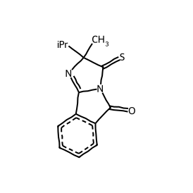 CC(C)C1(C)N=C2c3ccccc3C(=O)N2C1=S